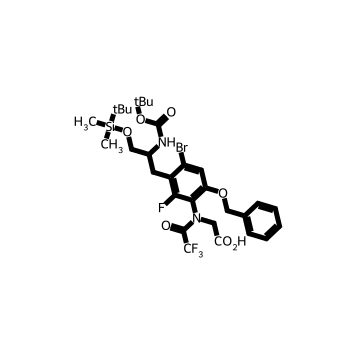 CC(C)(C)OC(=O)NC(CO[Si](C)(C)C(C)(C)C)Cc1c(Br)cc(OCc2ccccc2)c(N(CC(=O)O)C(=O)C(F)(F)F)c1F